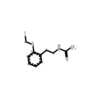 O=C(NCCc1ccccc1OCI)C(F)(F)F